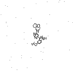 CC1(Oc2ccc3[nH]nc(-c4cc(N5CCOC6(CCCC6)C5)ncn4)c3c2)CC1